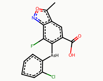 Cc1onc2c(F)c([AsH]c3ccccc3Cl)c(C(=O)O)cc12